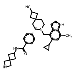 Cc1cc(C2CC2)c(CN2CCC3(CC(C#N)C3)C[C@H]2c2ccc(C(=O)NC3CC4(CNC4)C3)cc2)c2cc[nH]c12